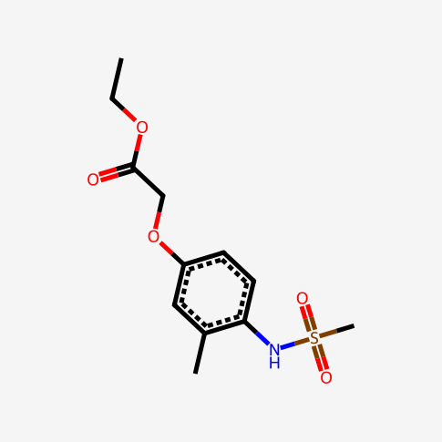 CCOC(=O)COc1ccc(NS(C)(=O)=O)c(C)c1